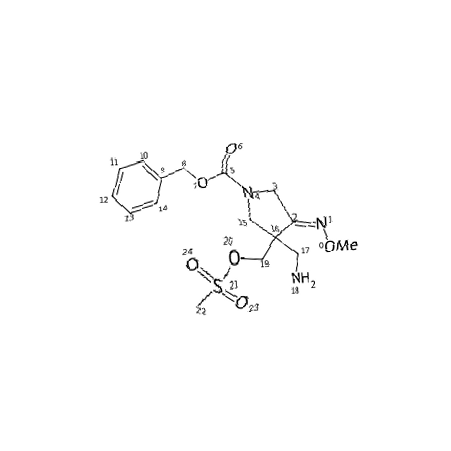 CO/N=C1/CN(C(=O)OCc2ccccc2)CC1(CN)COS(C)(=O)=O